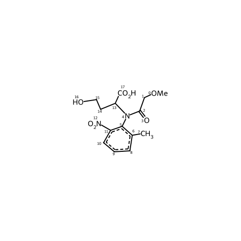 COCC(=O)N(c1c(C)cccc1[N+](=O)[O-])C(CCO)C(=O)O